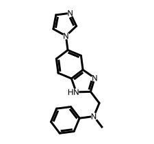 CN(Cc1nc2cc(-n3ccnc3)ccc2[nH]1)c1ccccc1